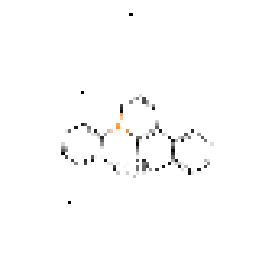 O=C(O)c1ccccc1P1CC=Cc2c1ccc1ccccc21